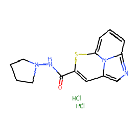 Cl.Cl.O=C(NN1CCCC1)C1=Cc2cnc3cccc(n23)S1